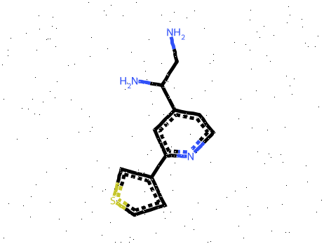 NCC(N)c1ccnc(-c2ccsc2)c1